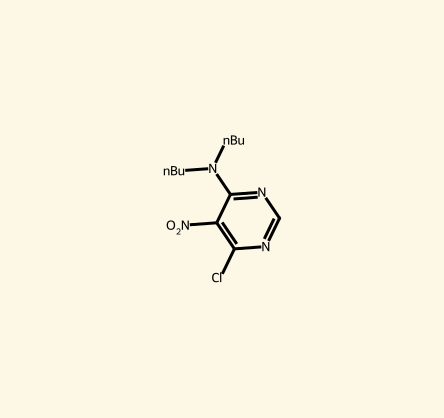 CCCCN(CCCC)c1ncnc(Cl)c1[N+](=O)[O-]